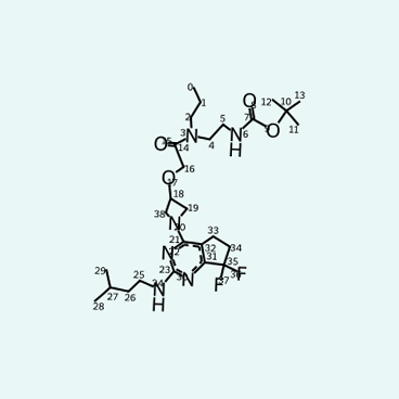 CCCN(CCNC(=O)OC(C)(C)C)C(=O)COC1CN(c2nc(NCCC(C)C)nc3c2CCC3(F)F)C1